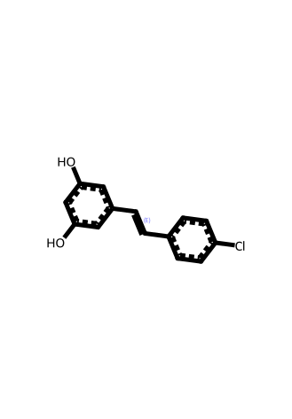 Oc1cc(O)cc(/C=C/c2ccc(Cl)cc2)c1